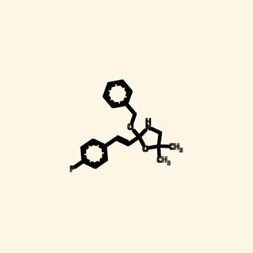 CC1(C)CNC(C=Cc2ccc(F)cc2)(OCc2ccccc2)O1